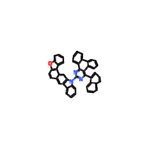 c1ccc2c(-c3nc(-n4c5ccccc5c5cc6ccc7oc8ccccc8c7c6cc54)nc4c5ccccc5c5ccccc5c34)cccc2c1